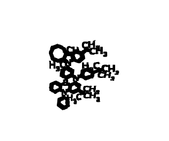 CC(C)c1ccc2c(c1)C1(C)CCCCCCC1(C)N2c1ccc2c(c1)N(c1ccc(C(C)(C)C)cc1)c1cc(C(C)(C)C)cc3c1B2c1ccccc1N3c1ccccc1